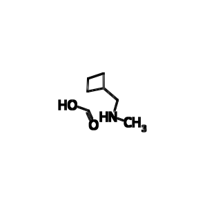 CNCC1CCC1.O=CO